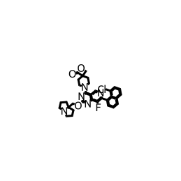 O=C1OCC12CCN(c1nc(OCC34CCCN3CCC4)nc3c(F)c(-c4cccc5cccc(Cl)c45)ncc13)CC2